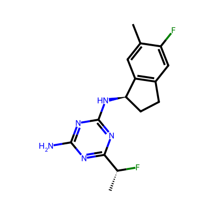 Cc1cc2c(cc1F)CC[C@H]2Nc1nc(N)nc([C@@H](C)F)n1